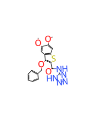 COc1cc2sc(C(=O)Nc3nnn[nH]3)c(OCc3ccccc3)c2cc1OC